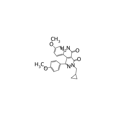 COc1ccc(-c2nn(CC3CC3)c(=O)c(C(N)=O)c2-c2ccc(OC)cc2)cc1